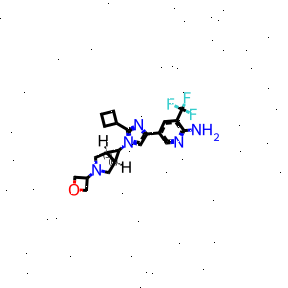 Nc1ncc(-c2cn(C3[C@H]4CN(C5COC5)C[C@@H]34)c(C3CCC3)n2)cc1C(F)(F)F